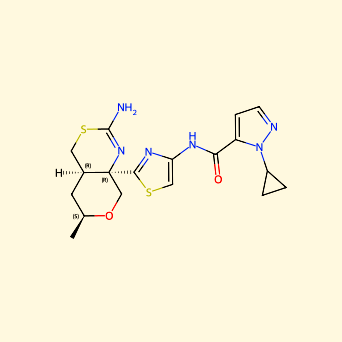 C[C@H]1C[C@H]2CSC(N)=N[C@@]2(c2nc(NC(=O)c3ccnn3C3CC3)cs2)CO1